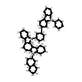 c1ccc(-n2c3ccccc3c3ccc(-c4cccc(-n5c6ccccc6c6ccc7c(c8ccccc8n7-c7ccc8ccccc8c7)c65)c4)cc32)cc1